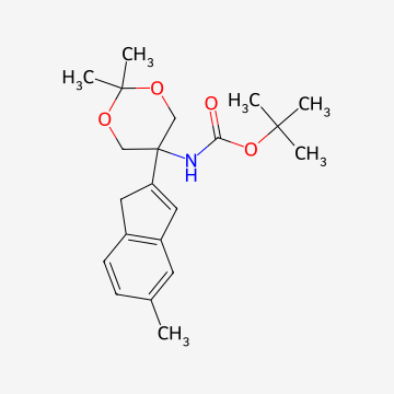 Cc1ccc2c(c1)C=C(C1(NC(=O)OC(C)(C)C)COC(C)(C)OC1)C2